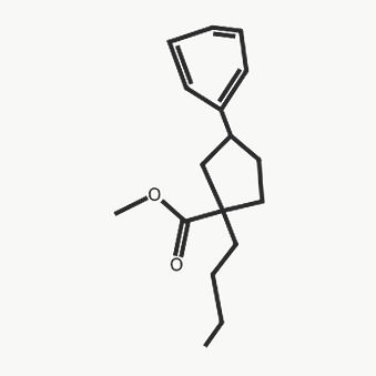 CCCCC1(C(=O)OC)CCC(c2ccccc2)C1